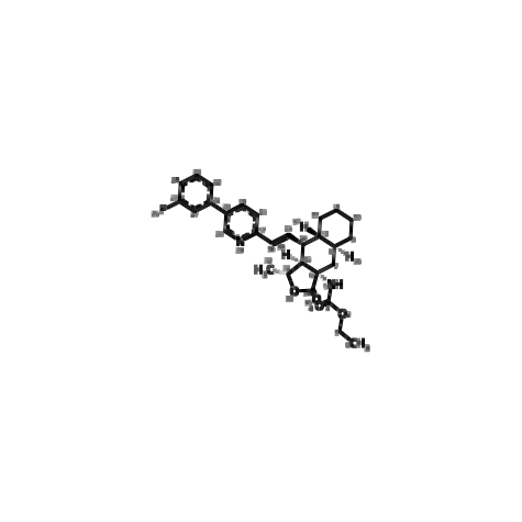 CCOC(=O)N[C@@]12C[C@@H]3CCCC[C@H]3[C@H](/C=C/c3ccc(-c4cccc(F)c4)cn3)[C@@H]1[C@@H](C)OC2=O